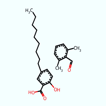 CCCCCCCCCc1ccc(O)c(C(=O)O)c1.Cc1cccc(C)c1C=O